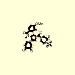 COc1ccc(C(=O)N(C)[C@@H]2CN(C(=O)N3CCN(S(C)(=O)=O)[C@H](C)C3)C[C@H]2c2ccc(Cl)c(Cl)c2)cc1C(F)(F)F